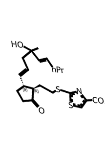 CCCC=CC(C)(O)CC=C[C@H]1CCC(=O)[C@@H]1CCSc1nc(C(=O)O)cs1